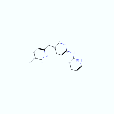 CC1CC=C(CC2CC=C(NC3CCC=CN3)NC2)NC1